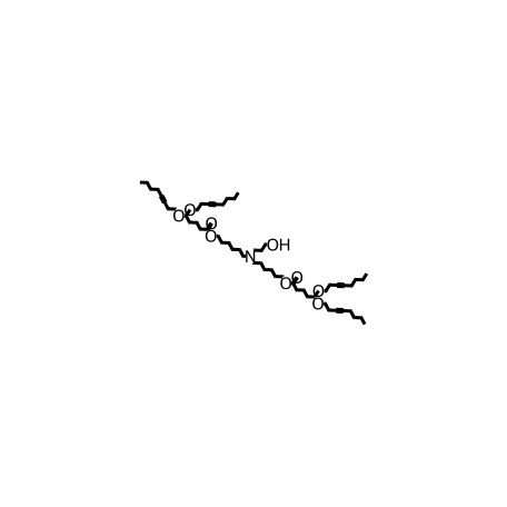 CCCCC#CCCOC(CCCC(=O)OCCCCCCN(CCCO)CCCCCCOC(=O)CCCC(OCCC#CCCCC)OCCC#CCCCC)OCCC#CCCCC